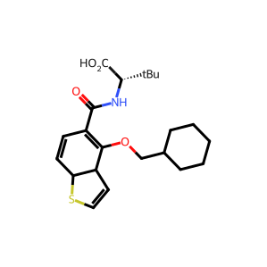 CC(C)(C)[C@H](NC(=O)C1=C(OCC2CCCCC2)C2C=CSC2C=C1)C(=O)O